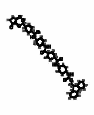 O=C(Nc1ccc(NC(=O)c2ccc(C(=O)Nc3ccc(NC(=O)c4ccc(C(=O)ON5C(=O)CCC5=O)cc4)cc3)cc2)cc1)OCC1c2ccccc2-c2ccccc21